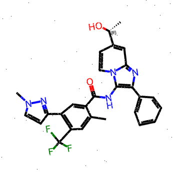 Cc1cc(C(F)(F)F)c(-c2ccn(C)n2)cc1C(=O)Nc1c(-c2ccccc2)nc2cc([C@@H](C)O)ccn12